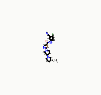 C[C@@H]1CCCN(C2CCN(c3ncc(C(=O)Nc4ccc(F)c(C#N)c4)s3)CC2)C1